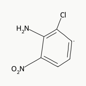 Nc1c(Cl)[c]ccc1[N+](=O)[O-]